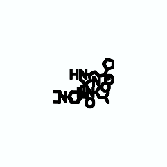 CCN(CC)c1ccc(C(=O)NC(CC(C)C)C(=O)N2C(C(=O)C3CCCC3)CC3NCC(=O)C32)cc1